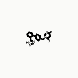 Cc1cc(=O)n(Cc2ccc(-c3ccccc3-c3nnn[nH]3)cc2)cn1